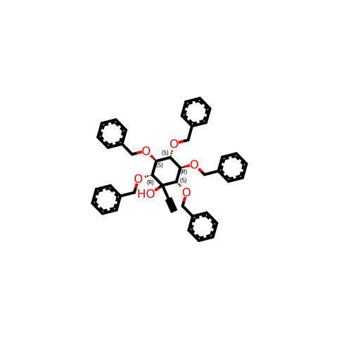 C#CC1(O)[C@H](OCc2ccccc2)[C@@H](OCc2ccccc2)[C@H](OCc2ccccc2)[C@@H](OCc2ccccc2)[C@@H]1OCc1ccccc1